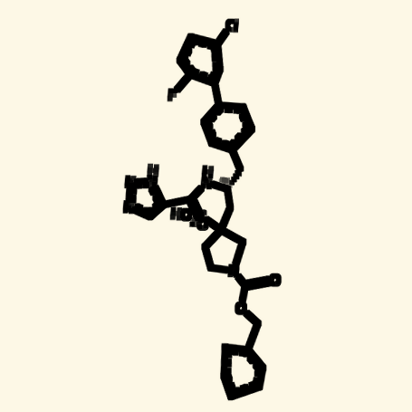 O=C(N[C@H](Cc1ccc(-c2cc(Cl)ccc2F)cc1)CC1(C(=O)O)CCN(C(=O)OCc2ccccc2)C1)c1cnn[nH]1